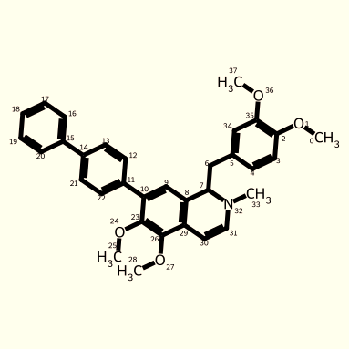 COc1ccc(CC2c3cc(-c4ccc(-c5ccccc5)cc4)c(OC)c(OC)c3C=CN2C)cc1OC